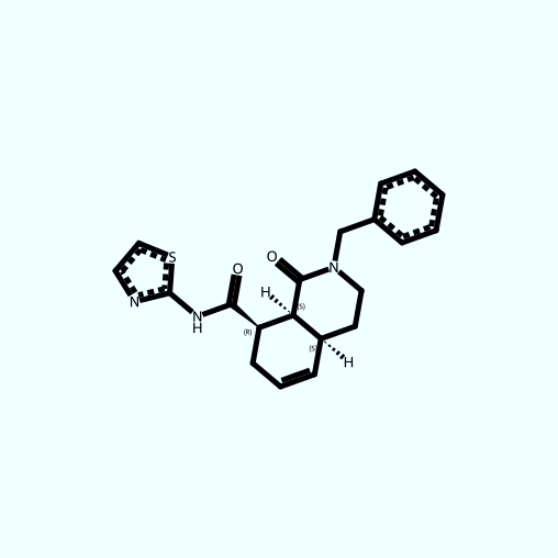 O=C(Nc1nccs1)[C@@H]1CC=C[C@@H]2CCN(Cc3ccccc3)C(=O)[C@@H]21